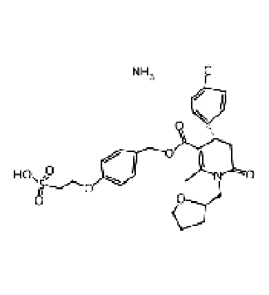 CC1=C(C(=O)OCc2ccc(OCCS(=O)(=O)O)cc2)[C@H](c2ccc(Cl)cc2)CC(=O)N1C[C@H]1CCCO1.N